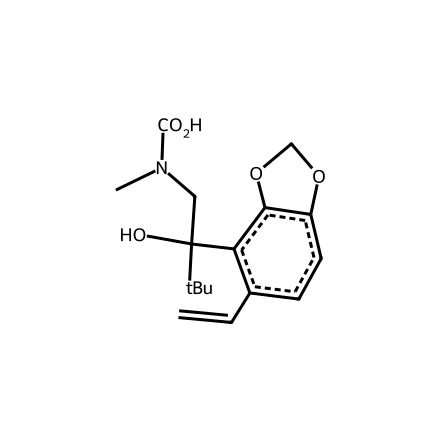 C=Cc1ccc2c(c1C(O)(CN(C)C(=O)O)C(C)(C)C)OCO2